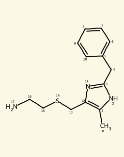 Cc1[nH]c(Cc2ccccc2)nc1CSCCN